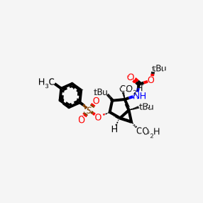 Cc1ccc(S(=O)(=O)O[C@@H]2C(C(C)(C)C)[C@@](NC(=O)OC(C)(C)C)(C(=O)O)[C@@]3(C(C)(C)C)[C@H]2[C@H]3C(=O)O)cc1